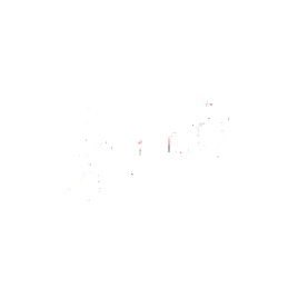 CC(C)(C)[S+]([O-])NC(CC(=O)CC(=O)Oc1cccc(Br)n1)c1ccsc1